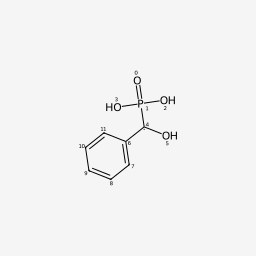 O=P(O)(O)[C](O)c1ccccc1